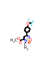 COC(=O)C1=CC(c2ccc(OC(F)(F)F)cc2)=NS(=O)(=O)N1C